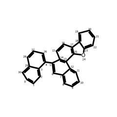 c1ccc2c(-c3cc4ccccc4c4c3ccc3c5ccccc5oc34)cccc2c1